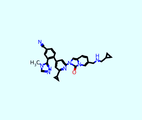 Cn1cnnc1-c1cc(C#N)ccc1-c1cc(C2CC2)nc(-n2cc3ccc(CNCC4CC4)cn3c2=O)c1